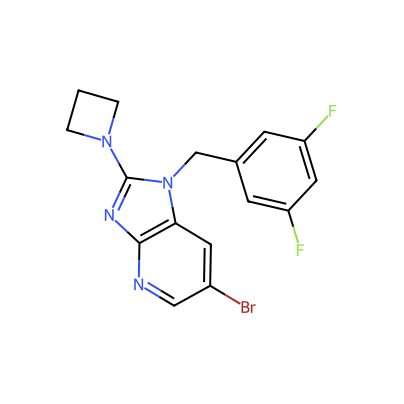 Fc1cc(F)cc(Cn2c(N3CCC3)nc3ncc(Br)cc32)c1